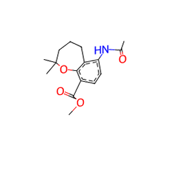 COC(=O)c1ccc(NC(C)=O)c2c1OC(C)(C)CCC2